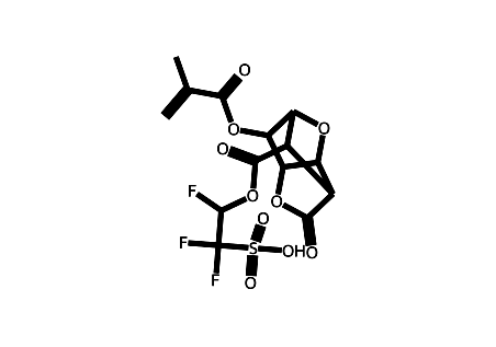 C=C(C)C(=O)OC1C2OC(=O)C3C2OC1C3C(=O)OC(F)C(F)(F)S(=O)(=O)O